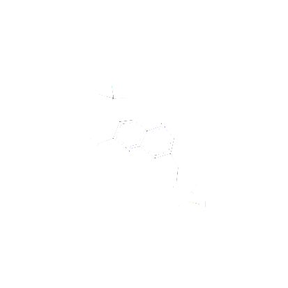 COc1nc2cc(COS(C)(=O)=O)cnc2cc1SC(F)(F)F